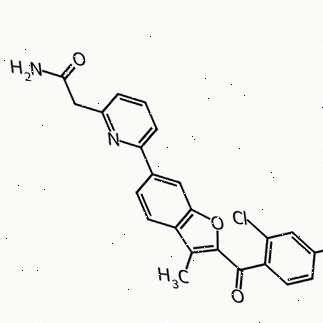 Cc1c(C(=O)c2ccc(Cl)cc2Cl)oc2cc(-c3cccc(CC(N)=O)n3)ccc12